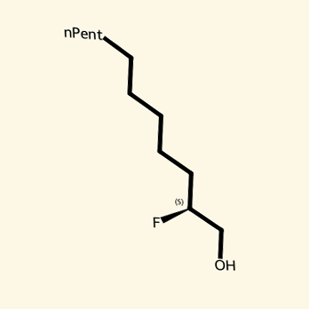 CCCCCCCCCC[C@H](F)CO